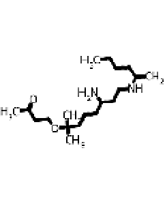 C=C(CCCC)NCCC(N)CCCC(C)(C)OCCC(C)=O